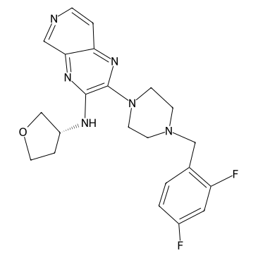 Fc1ccc(CN2CCN(c3nc4ccncc4nc3N[C@@H]3CCOC3)CC2)c(F)c1